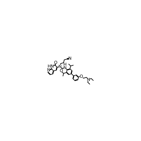 CCN(CC)CCOc1cccc(-c2cc(C(C)C)c(NC(=O)N(CCCC#N)c3cc4cccnc4[nH]c3=O)c(C(C)C)c2)c1